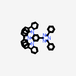 C1=CC2C3=C(CCC=C3)N(c3cc(-c4nc(-c5ccccc5)nc(-c5ccccc5)n4)cc(N4C5=C(C=CCC5)C5C=CC=CC54)c3-n3c4ccccc4c4ccccc43)C2C=C1